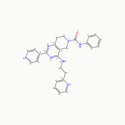 O=C(Nc1ccccc1)N1CCc2nc(-c3ccncc3)nc(NCCc3ccccn3)c2C1